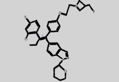 CC/C(=C(/c1ccc(OCCN2CC(CF)C2)cc1)c1ccc2c(cnn2C2CCCCO2)c1)c1ccc(F)cc1Cl